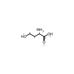 N.O=C(O)CCCO